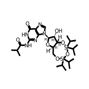 CC(C)C(=O)Nc1nc2c(ncn2[C@@H]2O[C@@H]3CO[Si](C(C)C)(C(C)C)O[Si](C(C)C)(C(C)C)O[C@H]3[C@H]2O)c(=O)[nH]1